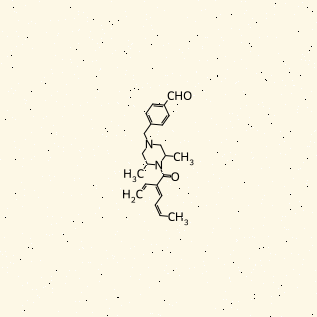 C=C/C(=C\C=C/C)C(=O)N1C(C)CN(Cc2ccc(C=O)cc2)CC1C